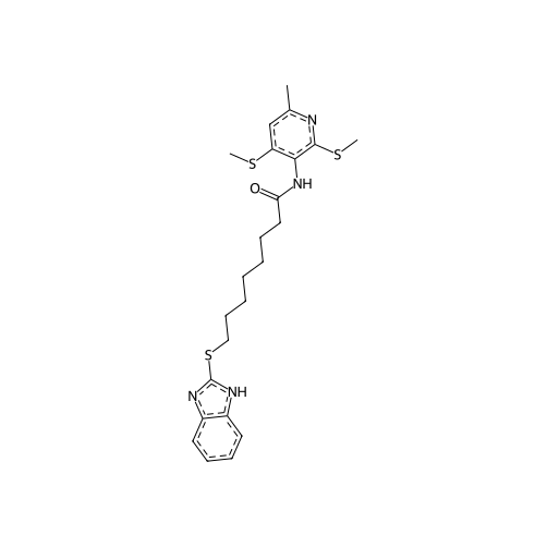 CSc1cc(C)nc(SC)c1NC(=O)CCCCCCCSc1nc2ccccc2[nH]1